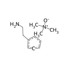 C[N+](C)(C)[O-].NCCc1ccccc1